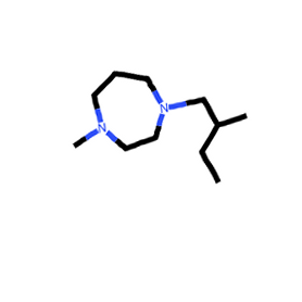 CCC(C)CN1CCCN(C)CC1